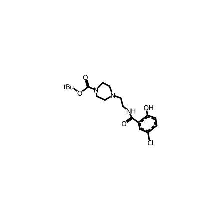 CC(C)(C)OC(=O)N1CCN(CCNC(=O)c2cc(Cl)ccc2O)CC1